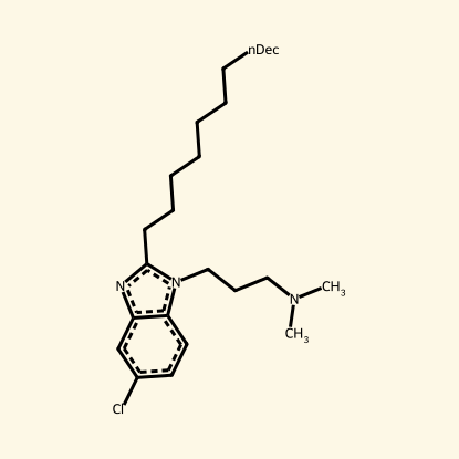 CCCCCCCCCCCCCCCCCc1nc2cc(Cl)ccc2n1CCCN(C)C